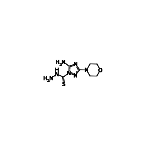 NNC(=S)n1nc(N2CCOCC2)nc1N